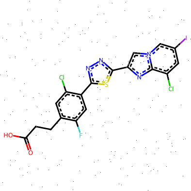 O=C(O)CCc1cc(Cl)c(-c2nnc(-c3cn4cc(I)cc(Cl)c4n3)s2)cc1F